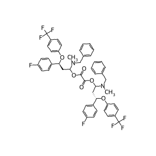 CN(Cc1ccccc1)C(C[C@H](Oc1ccc(C(F)(F)F)cc1)c1ccc(F)cc1)OC(=O)C(=O)OC(C[C@H](Oc1ccc(C(F)(F)F)cc1)c1ccc(F)cc1)N(C)Cc1ccccc1